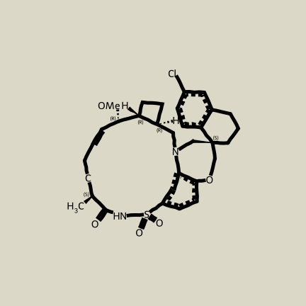 CO[C@H]1C=CCC[C@H](C)C(=O)NS(=O)(=O)c2ccc3c(c2)N(C[C@@H]2CC[C@H]21)C[C@@]1(CCCc2cc(Cl)ccc21)CO3